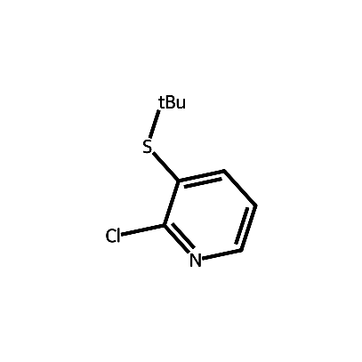 CC(C)(C)Sc1cccnc1Cl